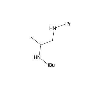 [CH2]CC(C)NC(C)CNC([CH2])C